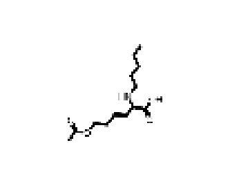 CCCCCNC(/C=C/CCOC(C)=O)C(=O)O